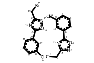 ClCc1noc(-c2cccc(Cl)c2)n1.Clc1cccc(-c2nc(CBr)no2)c1